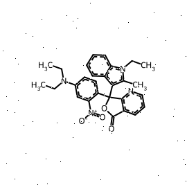 CCN(CC)c1ccc(C2(c3c(C)n(CC)c4ccccc34)OC(=O)c3cccnc32)c([N+](=O)[O-])c1